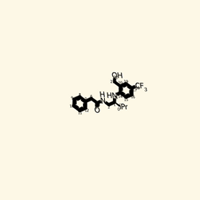 CC(C)[C@@H](CNC(=O)Cc1ccccc1)Nc1ccc(C(F)(F)F)cc1CO